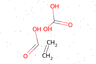 C=C.O=C(O)O.O=CO